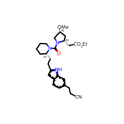 CCOC(=O)C[C@H]1C[C@@H](OC)CN1C(=O)N1CCCC[C@H]1CCc1cc2ccc(CCC#N)cc2[nH]1